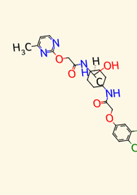 Cc1ccnc(OCC(=O)NC23CCC(NC(=O)COc4ccc(Cl)c(F)c4)(CC2)C[C@@H]3O)n1